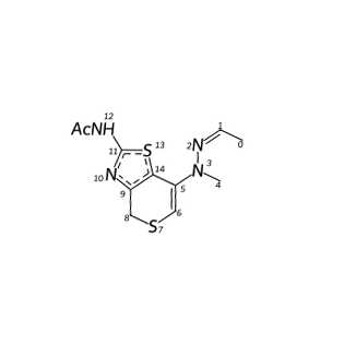 C/C=N\N(C)C1=CSCc2nc(NC(C)=O)sc21